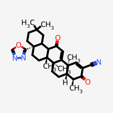 C[C@@H]1C(=O)C(C#N)=C[C@]2(C)C3=CC(=O)C4C5CC(C)(C)CC[C@]5(c5nnco5)CC[C@@]4(C)[C@]3(C)CC[C@@H]12